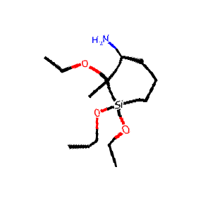 CCOC1(C)C(N)CCC[Si]1(OCC)OCC